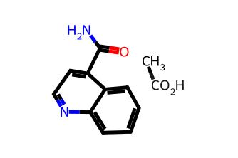 CC(=O)O.NC(=O)c1ccnc2ccccc12